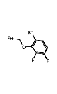 [2H]COc1c(Br)ccc(F)c1F